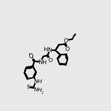 CCOC(=O)CC(NC(=O)CNC(=O)c1cccc(NC(N)=S)c1)c1ccccc1